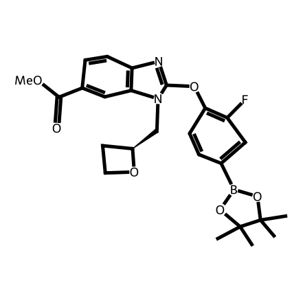 COC(=O)c1ccc2nc(Oc3ccc(B4OC(C)(C)C(C)(C)O4)cc3F)n(C[C@@H]3CCO3)c2c1